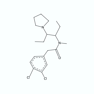 CCC(C(CC)N(C)C(=O)Cc1ccc(Cl)c(Cl)c1)N1CCCC1